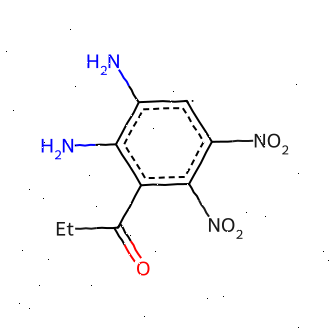 CCC(=O)c1c(N)c(N)[c]c([N+](=O)[O-])c1[N+](=O)[O-]